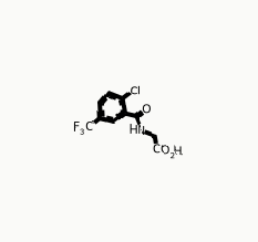 O=C(O)CNC(=O)c1cc(C(F)(F)F)ccc1Cl